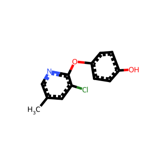 Cc1cnc(Oc2ccc(O)cc2)c(Cl)c1